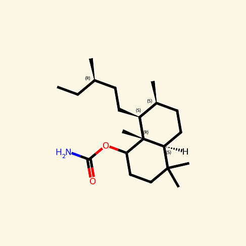 CC[C@@H](C)CC[C@H]1[C@@H](C)CC[C@H]2C(C)(C)CCC(OC(N)=O)[C@]12C